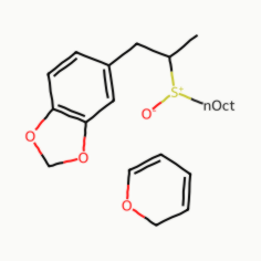 C1=CCOC=C1.CCCCCCCC[S+]([O-])C(C)Cc1ccc2c(c1)OCO2